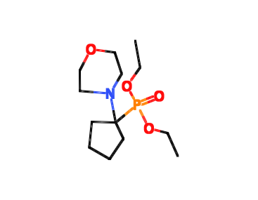 CCOP(=O)(OCC)C1(N2CCOCC2)CCCC1